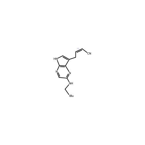 CC(C)(C)CNc1cnc2[nH]cc(C/C=C\C#N)c2n1